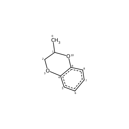 CC1COc2[c]cccc2O1